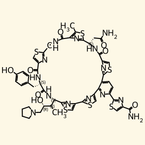 Cc1sc2nc1C(=O)NCc1nc(cs1)C(=O)N[C@@H](Cc1ccc(O)cc1)C(=O)N[C@@H]([C@@H](C)[C@@H](O)CN1CCCC1)c1nc(cs1)-c1nc(cs1)-c1nc(-c3nc(C(N)=O)cs3)ccc1-c1nc(cs1)C(=O)N[C@H]2CC(N)=O